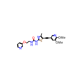 COc1cc(C#Cc2sc(NC(=O)NCCOc3cccnc3)nc2C)cnc1OC